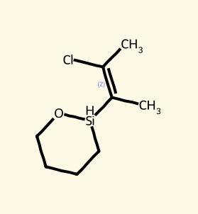 C/C(Cl)=C(\C)[SiH]1CCCCO1